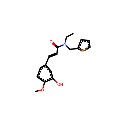 CCN(Cc1cccs1)C(=O)C=Cc1ccc(OC)c(O)c1